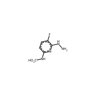 NNc1nc(NC(=O)O)ccc1F